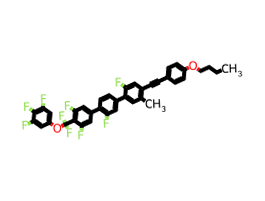 CCCCOc1ccc(C#Cc2cc(F)c(-c3ccc(-c4cc(F)c(C(F)(F)Oc5cc(F)c(F)c(F)c5)c(F)c4)c(F)c3)cc2C)cc1